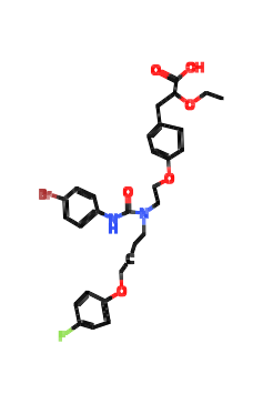 CCOC(Cc1ccc(OCCN(CCCCOc2ccc(F)cc2)C(=O)Nc2ccc(Br)cc2)cc1)C(=O)O